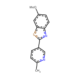 COc1ccc2nc(-c3ccc(C)nc3)sc2c1